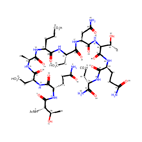 CC(=O)N[C@H](C(=O)N[C@@H](CCC(N)=O)C(=O)N[C@@H](CC(=O)O)C(=O)N[C@@H](C)C(=O)N[C@@H](CCC(=O)O)C(=O)N[C@@H](CC(=O)O)C(=O)N[C@@H](CC(N)=O)C(=O)N[C@H](C(=O)N[C@@H](CCC(N)=O)C(=O)N[C@@H](CC(=O)O)C(N)=O)[C@@H](C)O)[C@@H](C)O